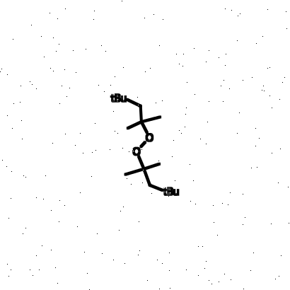 CC(C)(C)CC(C)(C)OOC(C)(C)CC(C)(C)C